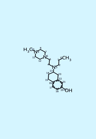 CCCN(CCN1CCN(C)CC1)C1CCc2ccc(O)cc2C1